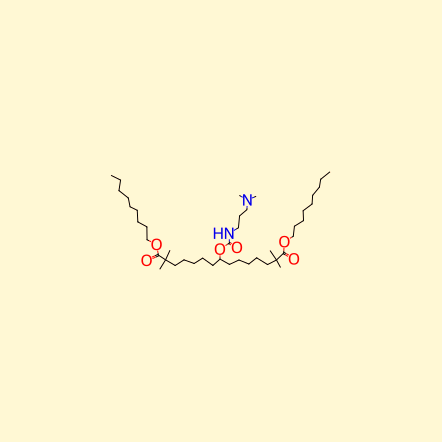 CCCCCCCCCOC(=O)C(C)(C)CCCCCC(CCCCCC(C)(C)C(=O)OCCCCCCCCC)OC(=O)NCCCN(C)C